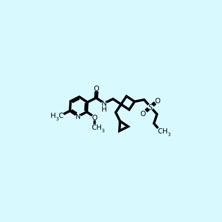 CCCS(=O)(=O)CC1CC(CNC(=O)c2ccc(C)nc2OC)(CC2CC2)C1